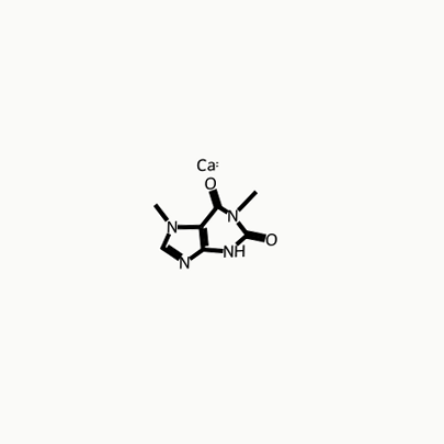 Cn1c(=O)[nH]c2ncn(C)c2c1=O.[Ca]